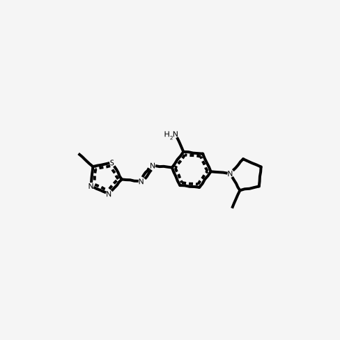 Cc1nnc(N=Nc2ccc(N3CCCC3C)cc2N)s1